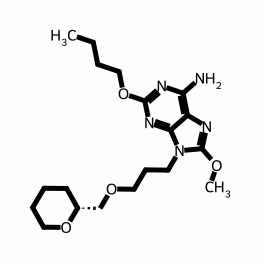 CCCCOc1nc(N)c2nc(OC)n(CCCOC[C@H]3CCCCO3)c2n1